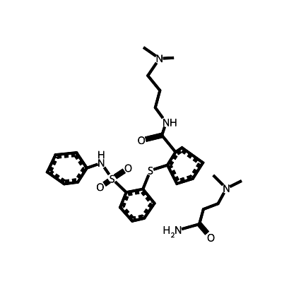 CN(C)CCC(N)=O.CN(C)CCCNC(=O)c1ccccc1Sc1ccccc1S(=O)(=O)Nc1ccccc1